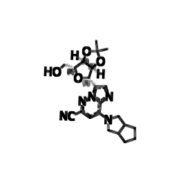 CC1(C)O[C@@H]2[C@H](O1)[C@@H](CO)O[C@H]2c1cnc2c(N3CC4CCCC4C3)cc(C#N)nn12